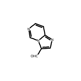 O=Cc1cnc2ccncn12